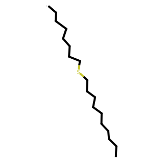 [CH2]CCCCCCCSCCCCCCCCCC